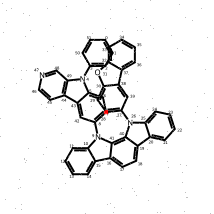 c1ccc(-n2c3ccc(-n4c5ccccc5c5ccc6c7ccccc7n(-c7ccc8oc9ccccc9c8c7)c6c54)cc3c3ccncc32)cc1